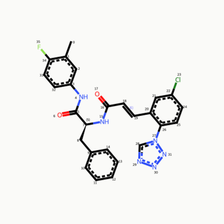 Cc1cc(NC(=O)[C@H](Cc2ccccc2)NC(=O)/C=C/c2cc(Cl)ccc2-n2cnnn2)ccc1F